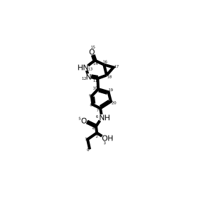 CCC(O)C(=O)Nc1ccc(C2=NNC(=O)C3CC23)cc1